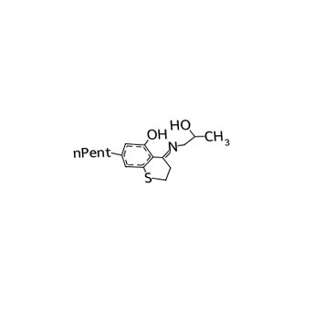 CCCCCc1cc(O)c2c(c1)SCCC2=NCC(C)O